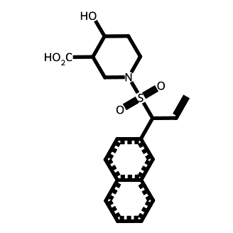 C=CC(c1ccc2ccccc2c1)S(=O)(=O)N1CCC(O)C(C(=O)O)C1